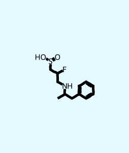 CC(Cc1ccccc1)NCC(F)CS(=O)O